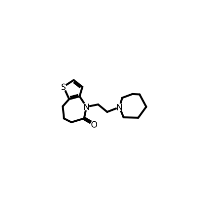 O=C1CCCc2sccc2N1CCN1CCCCCC1